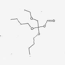 CCCCOC(COCC)(OC=O)OCCCC